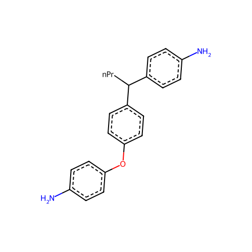 CCCC(c1ccc(N)cc1)c1ccc(Oc2ccc(N)cc2)cc1